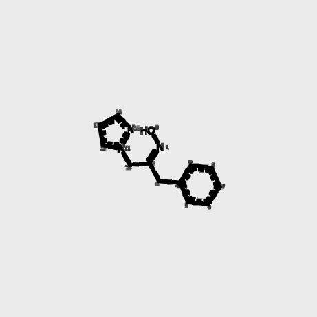 ON=C(Cc1ccccc1)Cn1cccn1